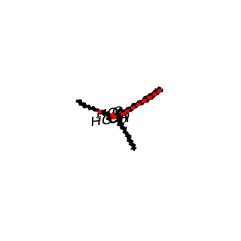 CCCCCCCCCCCCCCCCO[C@@](CCCCCCCCCCCCCCCC)(C(=O)CCCCCCCCCCCCCCCC)[C@@](CCCCCCCCCCCCCCCC)(OC)[C@@H](O)[C@H](O)CO